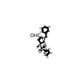 CN(C1C=C(C=O)N(Cc2ccccc2)C1)S(=O)(=O)c1cccs1